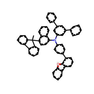 CC1(c2ccc(N(c3ccc(-c4cccc5c4oc4ccccc45)cc3)c3cc(-c4ccccc4)cc(-c4ccccc4)c3)c3ccccc23)c2ccccc2-c2ccccc21